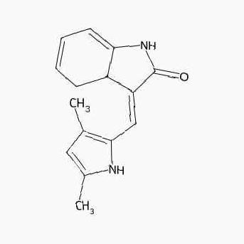 Cc1cc(C)c(C=C2C(=O)NC3=CC=CCC32)[nH]1